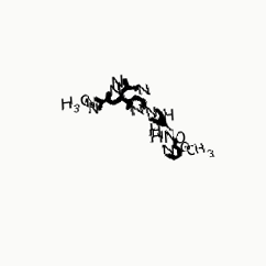 COc1cccnc1C(=O)NC[C@@H]1[C@H]2CN(c3ccc(-c4cc(-c5cnn(C)c5)cn5ncc(C#N)c45)cn3)C[C@@H]12